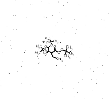 CCC(C(=O)OOC(C)(C)C)C(=O)C(OC(C)(C)C)OC(C)(C)C